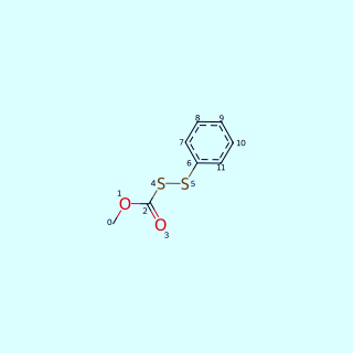 COC(=O)SSc1ccccc1